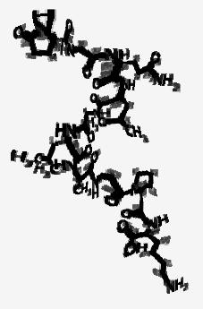 CC(C)C[C@H](NC(=O)CNC(=O)[C@H](CC(C)C)NC(=O)[C@H](CCC(N)=O)NC(=O)CNC(=O)[C@@H]1CCC(=O)N1)C(=O)N[C@@H](C)C(=O)NCC(=O)N1CCC[C@H]1C(=O)N[C@@H](CCCCN)C(=O)O